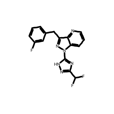 Fc1cccc(Cc2nn(-c3nc(C(F)F)n[nH]3)c3cccnc23)c1